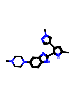 Cc1[c]c(-c2cnn(C)c2)c(-c2nc3cc(N4CCN(C)CC4)ccc3[nH]2)[nH]1